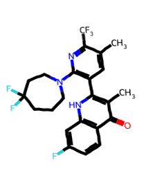 Cc1cc(-c2[nH]c3cc(F)ccc3c(=O)c2C)c(N2CCCC(F)(F)CC2)nc1C(F)(F)F